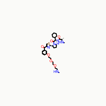 CNCCOCCOCCOc1cccc(C(=O)c2csc([C@@H]3CCCN3C(=O)[C@@H](NC(=O)[C@H](C)NC)C3CCCCC3)n2)c1